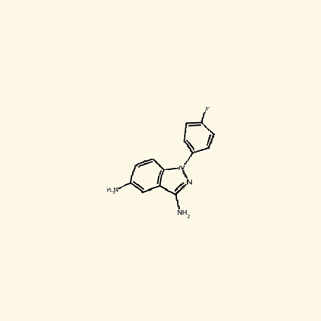 Nc1ccc2c(c1)c(N)nn2-c1ccc(F)cc1